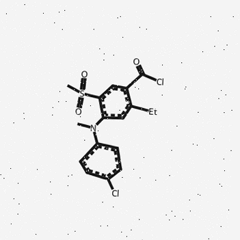 CCc1cc(N(C)c2ccc(Cl)cc2)c(S(C)(=O)=O)cc1C(=O)Cl